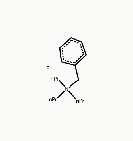 CCC[N+](CCC)(CCC)Cc1ccccc1.[F-]